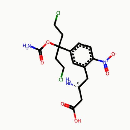 NC(=O)OC(CCCl)(CCCl)c1ccc([N+](=O)[O-])c(C[C@@H](N)CC(=O)O)c1